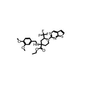 CCOC(=O)C1(NCc2ccc(OC)c(OC)c2)CCN(c2ncc3ccsc3n2)C(C(F)(F)F)C1